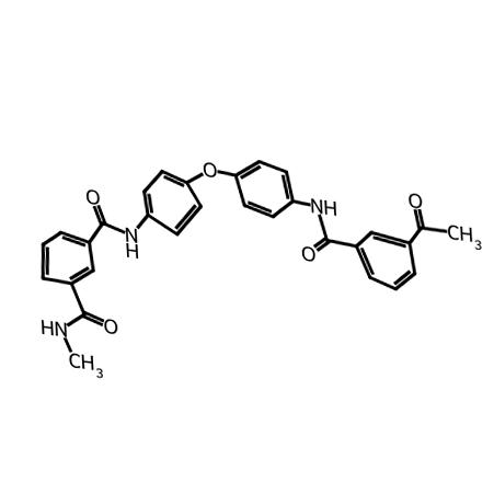 CNC(=O)c1cccc(C(=O)Nc2ccc(Oc3ccc(NC(=O)c4cccc(C(C)=O)c4)cc3)cc2)c1